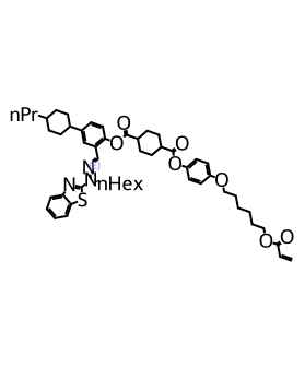 C=CC(=O)OCCCCCCOc1ccc(OC(=O)C2CCC(C(=O)Oc3ccc(C4CCC(CCC)CC4)cc3/C=N/N(CCCCCC)c3nc4ccccc4s3)CC2)cc1